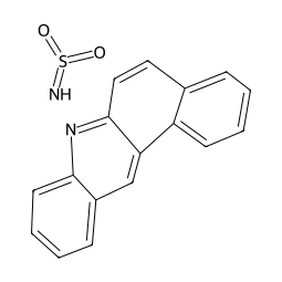 N=S(=O)=O.c1ccc2nc3ccc4ccccc4c3cc2c1